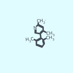 [CH2]c1cc(C)c(-c2c(C)cccc2C)cn1